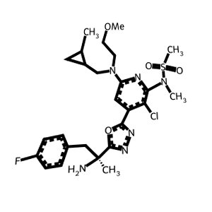 COCCN(CC1CC1C)c1cc(-c2nnc([C@@](C)(N)Cc3ccc(F)cc3)o2)c(Cl)c(N(C)S(C)(=O)=O)n1